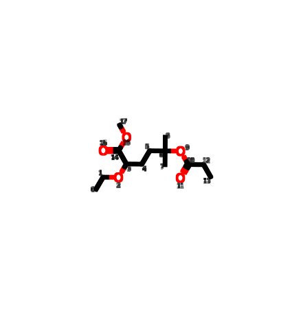 CCOC(CCC(C)(C)OC(=O)CC)C(=O)OC